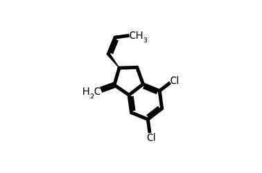 C=C1c2cc(Cl)cc(Cl)c2C[C@@H]1/C=C\C